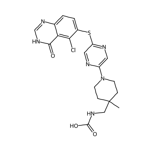 CC1(CNC(=O)O)CCN(c2cnc(Sc3ccc4nc[nH]c(=O)c4c3Cl)cn2)CC1